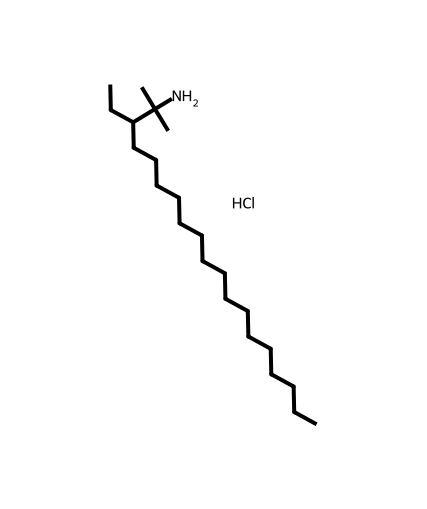 CCCCCCCCCCCCCCCCC(CC)C(C)(C)N.Cl